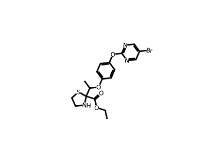 CCOC(=O)C1(C(C)Oc2ccc(Oc3ncc(Br)cn3)cc2)NCCS1